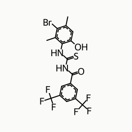 Cc1cc(O)c(NC(=S)NC(=O)c2cc(C(F)(F)F)cc(C(F)(F)F)c2)c(C)c1Br